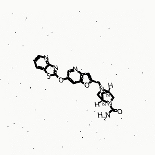 NC(=O)N1C[C@@H]2C[C@H]1CN2Cc1cc2ncc(Oc3nc4ncccc4s3)cc2o1